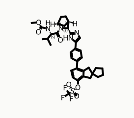 COC(=O)N[C@H](C(=O)N1[C@@H]2CC[C@@H](C2)[C@H]1c1ncc(-c2ccc(-c3ccc(OS(=O)(=O)C(F)(F)F)c4c3CC3(CCCC3)C4)cc2)[nH]1)C(C)C